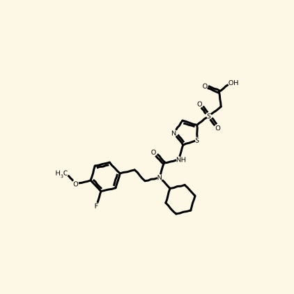 COc1ccc(CCN(C(=O)Nc2ncc(S(=O)(=O)CC(=O)O)s2)C2CCCCC2)cc1F